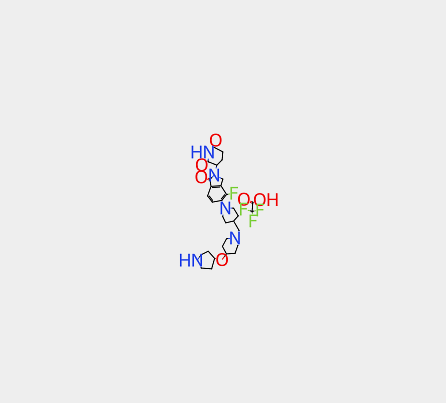 O=C(O)C(F)(F)F.O=C1CCC(N2Cc3c(ccc(N4CCC(CN5CCC(OC6CCNCC6)CC5)CC4)c3F)C2=O)C(=O)N1